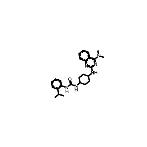 CC(C)c1ccccc1NC(=O)NC1CCC(Nc2nc(N(C)C)c3ccccc3n2)CC1